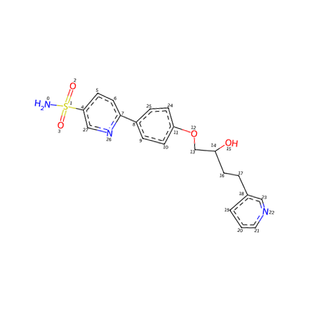 NS(=O)(=O)c1ccc(-c2ccc(OCC(O)CCc3cccnc3)cc2)nc1